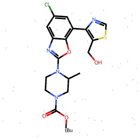 CC1CN(C(=O)OC(C)(C)C)CCN1c1nc2cc(Cl)cc(-c3ncsc3CO)c2o1